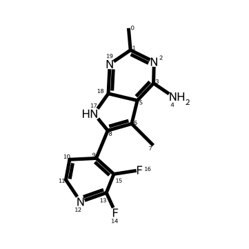 Cc1nc(N)c2c(C)c(-c3ccnc(F)c3F)[nH]c2n1